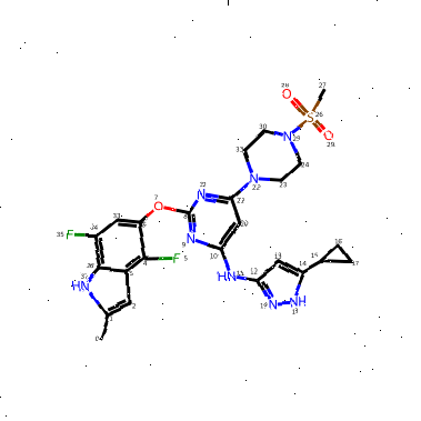 Cc1cc2c(F)c(Oc3nc(Nc4cc(C5CC5)[nH]n4)cc(N4CCN(S(C)(=O)=O)CC4)n3)cc(F)c2[nH]1